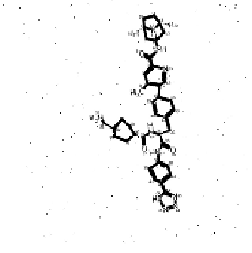 Cc1cc(C(=O)NC2C[C@H]3CC[C@@H](C2)N3)ncc1-c1ccc(C[C@H](NC(=O)[C@H]2CC[C@H](CN)CC2)C(=O)Nc2ccc(-c3nnn[nH]3)cc2)cc1